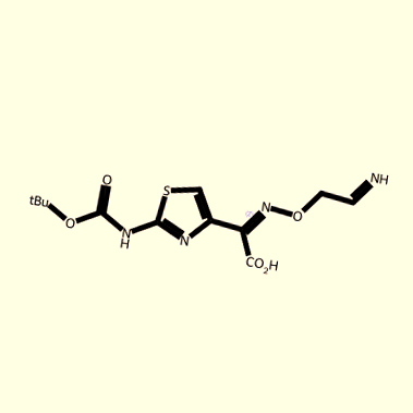 CC(C)(C)OC(=O)Nc1nc(/C(=N/OCC=N)C(=O)O)cs1